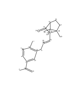 C=C(C)c1cnc(C)c(CN=CC2C(=O)C3CCC2(C)C3(C)C)c1